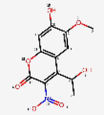 COc1cc2c(C(C)O)c([N+](=O)[O-])c(=O)oc2cc1O